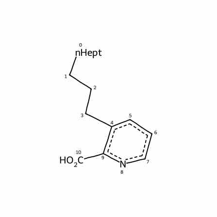 CCCCCCCCCCc1cccnc1C(=O)O